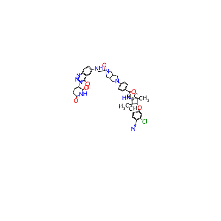 CC1(C)C(NC(=O)c2ccc(N3CC4CN(C(=O)CNc5ccc6nnn(C7CCC(=O)NC7=O)c(=O)c6c5)CC4C3)cc2)C(C)(C)C1Oc1ccc(C#N)c(Cl)c1